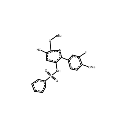 CCCCOc1nc(-c2ccc(OC)c(F)c2)c(NS(=O)(=O)c2ccccc2)cc1C#N